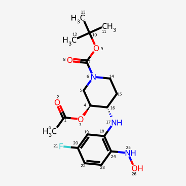 CC(=O)O[C@H]1CN(C(=O)OC(C)(C)C)CC[C@@H]1Nc1cc(F)ccc1NO